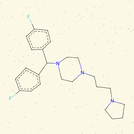 Fc1ccc(C(c2ccc(F)cc2)N2CCN(CCCN3CCCC3)CC2)cc1